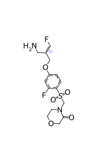 NC/C(=C\F)COc1ccc(S(=O)(=O)CN2CCOCC2=O)c(F)c1